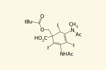 CC(=O)NC1=C(I)C(COC(=O)C(C)(C)C)(C(=O)O)C(I)C(N(C)C(C)=O)=C1I